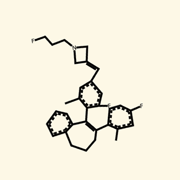 Cc1cc(F)ccc1C1=C(c2c(C)cc(C=C3CN(CCCF)C3)cc2F)c2ccccc2CCC1